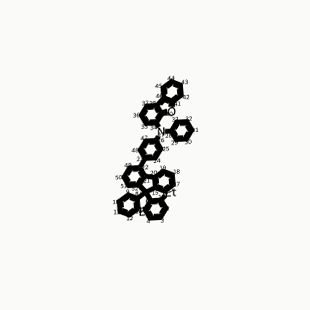 CCc1ccccc1C1(c2ccccc2CC)c2ccccc2-c2c(-c3ccc(N(c4ccccc4)c4cccc5c4oc4ccccc45)cc3)cccc21